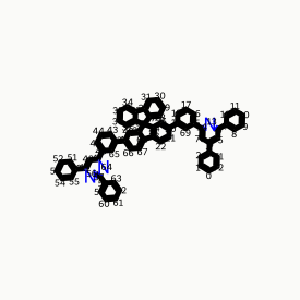 c1ccc(-c2cc(-c3ccccc3)nc(-c3cccc(-c4ccc5c(c4)C4(c6ccccc6-c6ccccc64)c4cc(-c6cccc(-c7cc(-c8ccccc8)nc(-c8ccccc8)n7)c6)ccc4-5)c3)c2)cc1